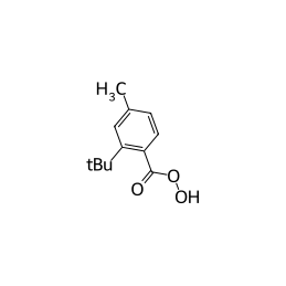 Cc1ccc(C(=O)OO)c(C(C)(C)C)c1